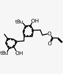 C=CC(=O)OCCc1cc(Cc2cc(C)cc(C(C)(C)C)c2O)cc(C(C)(C)C)c1O